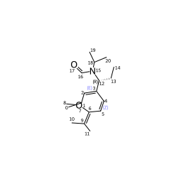 CC/C=C(\C=C/C(OC)=C(C)C)[C@@H](CC)N(C=O)C(C)C